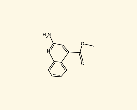 COC(=O)c1cc(N)nc2ccccc12